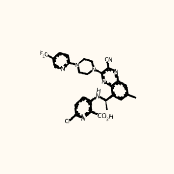 Cc1cc([C@@H](C)Nc2ccc(Cl)nc2C(=O)O)c2nc(N3CCN(c4ccc(C(F)(F)F)cn4)CC3)c(C#N)nc2c1